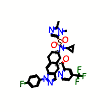 Cc1ncc(S(=O)(=O)N(C2CC2)[C@H]2CCC3=Cc4c(cnn4-c4ccc(F)cc4)C[C@]3(C(=O)c3cc(C(F)(F)F)ccn3)C2)n1C